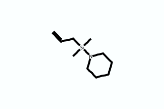 C=CC[Si](C)(C)N1CCCCC1